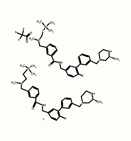 C[C@H]1CN(Cc2cccc(-c3cc(CNC(=O)c4cccc(CN(C)CC[N+](C)(C)C)c4)ccc3F)c2)CCN1.C[C@H]1CN(Cc2cccc(-c3cc(CNC(=O)c4cccc(CN(C)CC[N+](C)(C)C)c4)ccc3F)c2)CCN1.O=C([O-])C(F)(F)F.[I-]